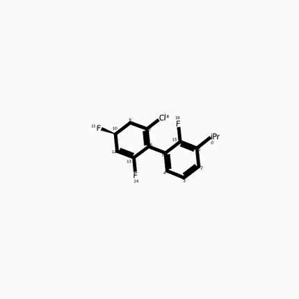 CC(C)c1cccc(C2=C(Cl)C[C@H](F)C=C2F)c1F